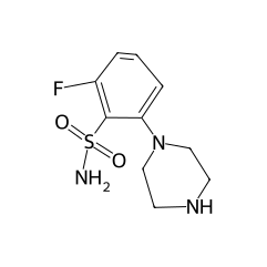 NS(=O)(=O)c1c(F)cccc1N1CCNCC1